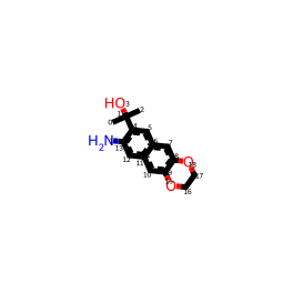 CC(C)(O)c1cc2cc3c(cc2cc1N)OCCO3